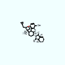 Cc1ccc(O)c2c1[C@]13C4CN(CC5CC5)[C@H]4[C@]1(O)CC[C@@H](N1C(=O)[C@H]4CCCC[C@H]4C1=O)[C@@H]3O2